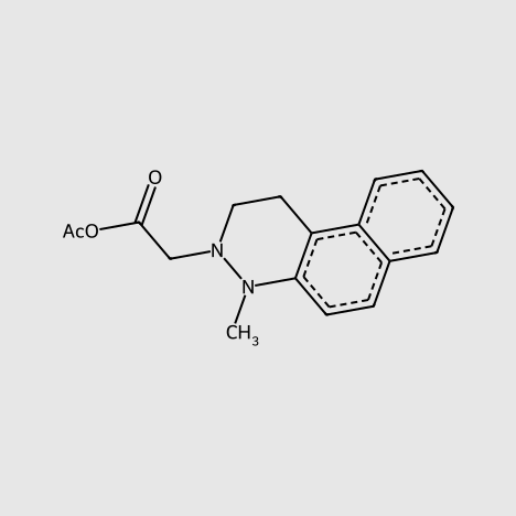 CC(=O)OC(=O)CN1CCc2c(ccc3ccccc23)N1C